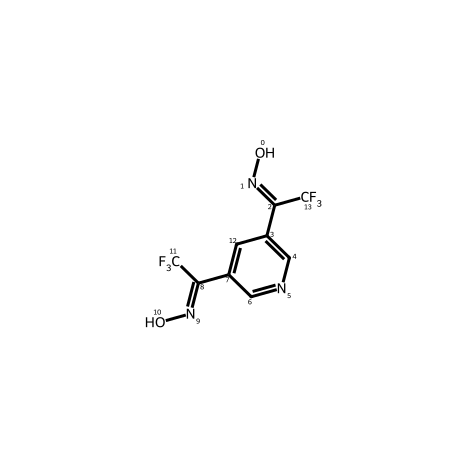 ON=C(c1cncc(C(=NO)C(F)(F)F)c1)C(F)(F)F